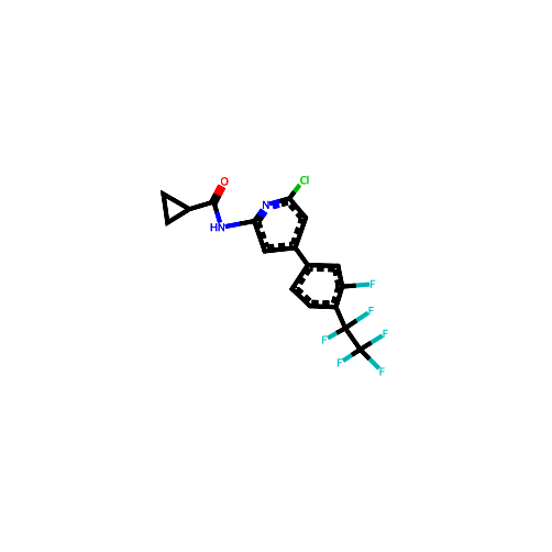 O=C(Nc1cc(-c2ccc(C(F)(F)C(F)(F)F)c(F)c2)cc(Cl)n1)C1CC1